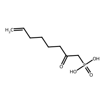 C=CCCCCC(=O)CP(=O)(O)O